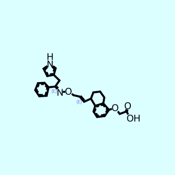 O=C(O)COc1cccc2c1CCCC2/C=C/CO/N=C(\Cc1cc[nH]c1)c1ccccc1